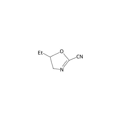 CCC1CN=C(C#N)O1